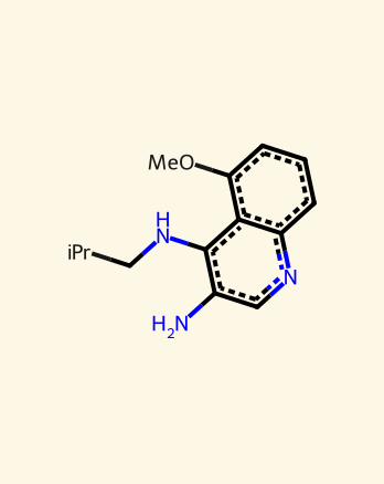 COc1cccc2ncc(N)c(NCC(C)C)c12